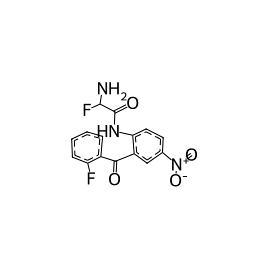 NC(F)C(=O)Nc1ccc([N+](=O)[O-])cc1C(=O)c1ccccc1F